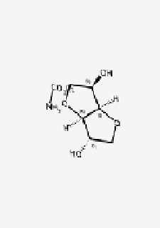 CCOC(N)=O.O[C@@H]1CO[C@H]2[C@@H]1OC[C@@H]2O